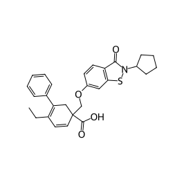 CCC1=C(c2ccccc2)CC(COc2ccc3c(=O)n(C4CCCC4)sc3c2)(C(=O)O)C=C1